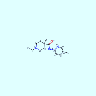 CCN1CCC(C)(C(=O)Nc2ccc(C)cn2)CC1